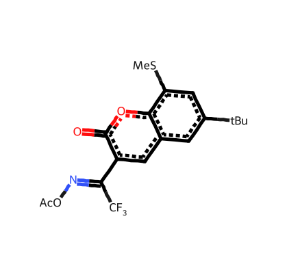 CSc1cc(C(C)(C)C)cc2cc(/C(=N/OC(C)=O)C(F)(F)F)c(=O)oc12